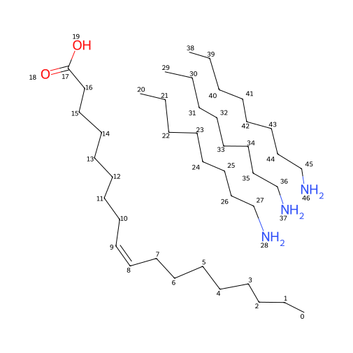 CCCCCCCC/C=C\CCCCCCCC(=O)O.CCCCCCCCN.CCCCCCCCN.CCCCCCCCN